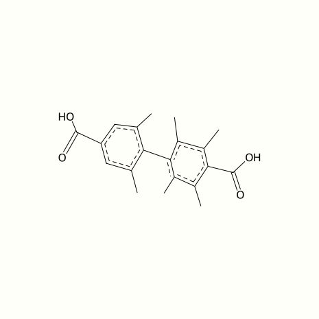 Cc1cc(C(=O)O)cc(C)c1-c1c(C)c(C)c(C(=O)O)c(C)c1C